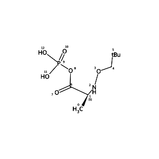 C[C@H](NOCC(C)(C)C)C(=O)OP(=O)(O)O